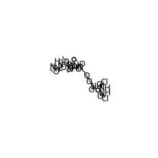 CC[C@H](C)[C@@H]([C@@H](CC(=O)C1CCCN1[C@H](OC)[C@@H](C)C(=O)N[C@H](Cc1ccccc1)C(=O)NCCCCOCCOCCNC(=O)c1ccc(NC(=O)CCl)c(NC(=O)CCl)c1)OC)N(C)C(=O)[C@H](NC(=O)[C@H](C(C)C)N(C)C)C(C)C